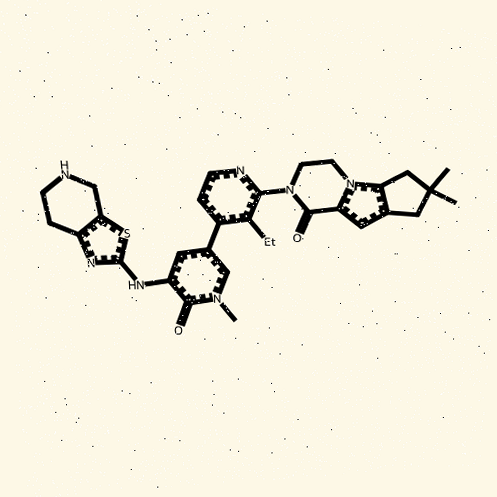 CCc1c(-c2cc(Nc3nc4c(s3)CNCC4)c(=O)n(C)c2)ccnc1N1CCn2c(cc3c2CC(C)(C)C3)C1=O